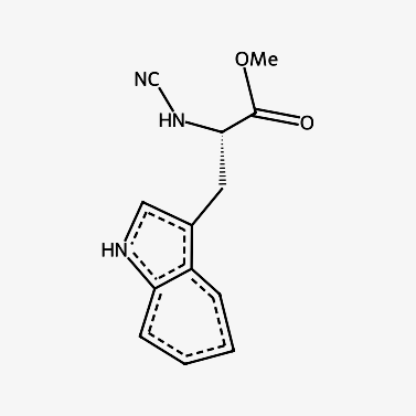 COC(=O)[C@H](Cc1c[nH]c2ccccc12)NC#N